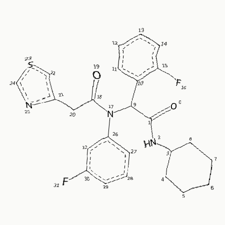 O=C(NC1CCCCC1)C(c1ccccc1F)N(C(=O)Cc1cscn1)c1cccc(F)c1